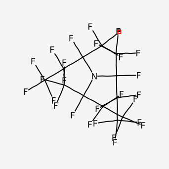 FC(F)(F)C(F)(F)C(F)(N(C(F)(C(F)(F)F)C(F)(F)C(F)(F)F)C(F)(C(F)(F)F)C(F)(F)C(F)(F)F)C(F)(F)F